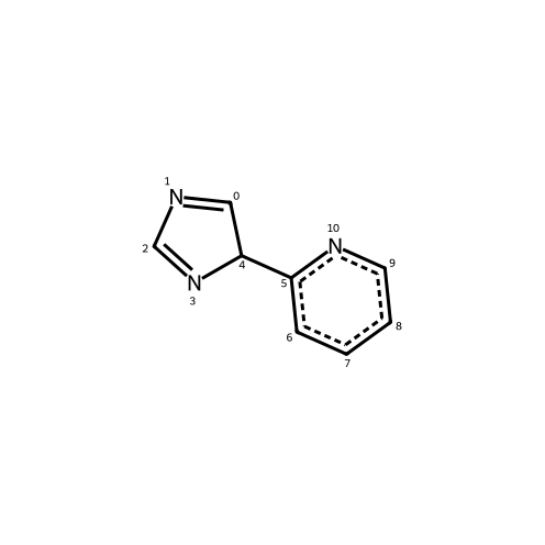 C1=NC=NC1c1ccccn1